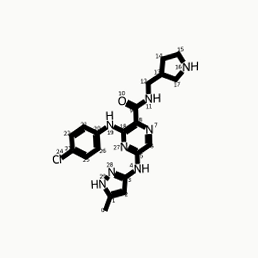 Cc1cc(Nc2cnc(C(=O)NCC3CCNC3)c(Nc3ccc(Cl)cc3)n2)n[nH]1